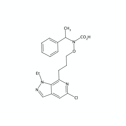 CCn1ncc2cc(Cl)nc(CCCON(C(=O)O)C(C)c3ccccc3)c21